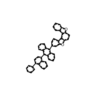 c1ccc(-c2ccc(-c3c4ccccc4c(-c4ccc5c(c4)oc4ccc6oc7ccccc7c6c45)c4ccccc34)c3ccccc23)cc1